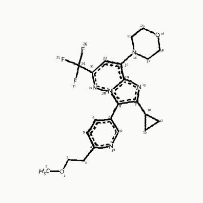 COCCc1ccc(-c2c(C3CC3)nc3c(N4CCOCC4)cc(C(F)(F)F)nn23)cn1